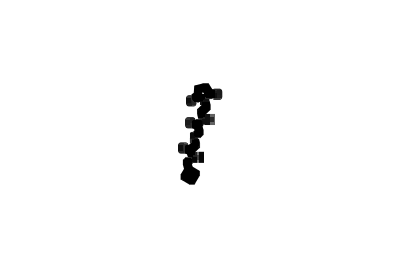 O=C(CSCC(=O)NCC1CCC1)NCCN1C(=O)CCC1=O